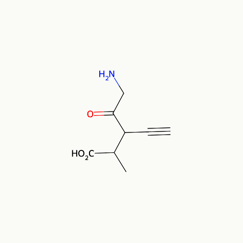 C#CC(C(=O)CN)C(C)C(=O)O